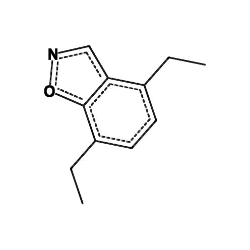 CCc1ccc(CC)c2oncc12